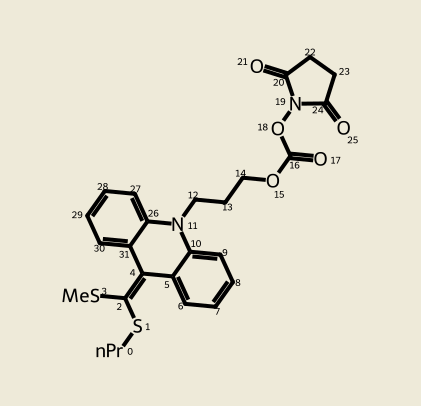 CCCSC(SC)=C1c2ccccc2N(CCCOC(=O)ON2C(=O)CCC2=O)c2ccccc21